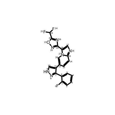 Fc1ccccc1-c1n[nH]cc1-c1ccc2ncc(-c3noc(C(F)F)n3)n2c1